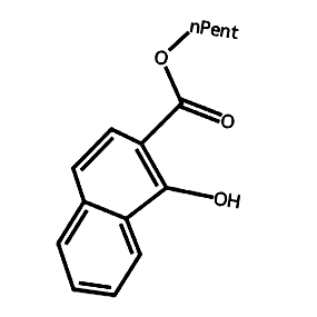 CCCCCOC(=O)c1ccc2ccccc2c1O